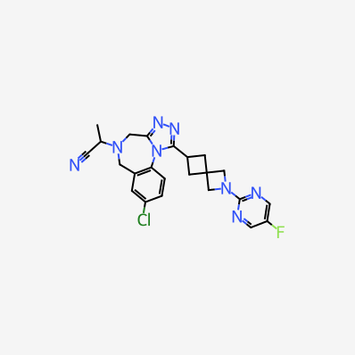 CC(C#N)N1Cc2cc(Cl)ccc2-n2c(nnc2C2CC3(C2)CN(c2ncc(F)cn2)C3)C1